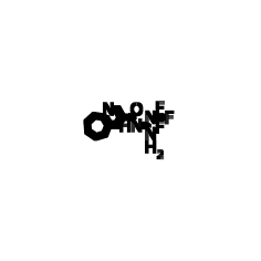 NC(=NC(F)(F)F)NC(=O)c1cnc2c(c1)CCCCC2